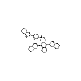 CC1(c2ccc(-c3cnc4ccccc4c3)nc2)C=Cc2c(c(C3=CC=C4C=CC=CC4C3)c3ccccc3c2-c2ccc3ccccc3c2)C1